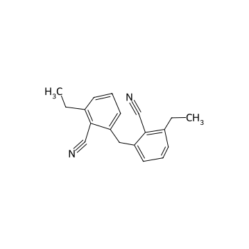 CCc1cccc(Cc2cccc(CC)c2C#N)c1C#N